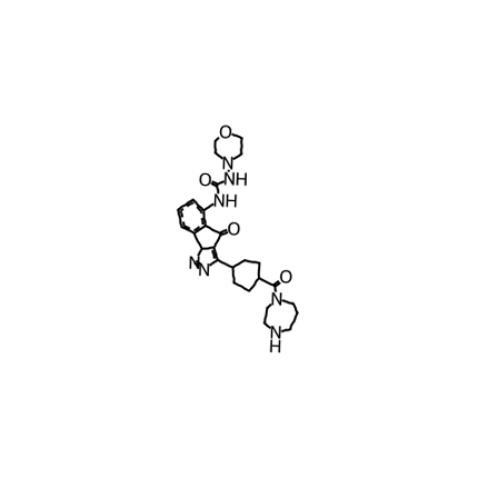 O=C(Nc1cccc2c1C(=O)C1=C(C3CCC(C(=O)N4CCCNCC4)CC3)N=NC12)NN1CCOCC1